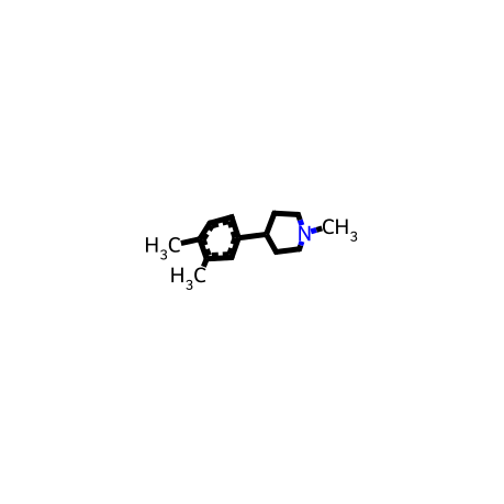 Cc1ccc(C2CCN(C)CC2)cc1C